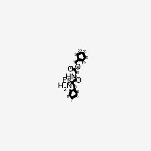 CC[C@](N)(Cc1ccccc1)C(=O)NCC(=O)OCc1ccccc1